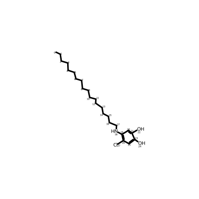 CCCCCCCCCCCCCCCCCCNc1cc(O)c(O)cc1Cl